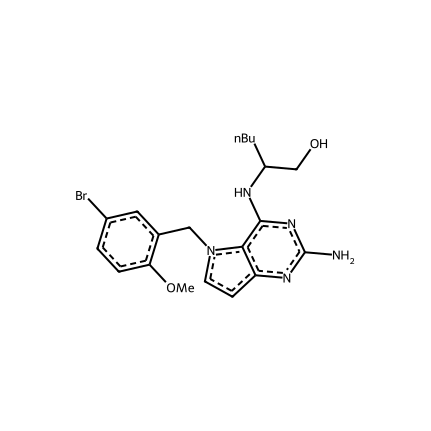 CCCCC(CO)Nc1nc(N)nc2ccn(Cc3cc(Br)ccc3OC)c12